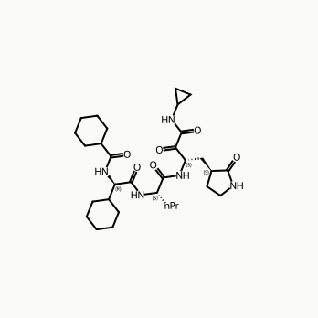 CCC[C@H](NC(=O)[C@H](NC(=O)C1CCCCC1)C1CCCCC1)C(=O)N[C@@H](C[C@@H]1CCNC1=O)C(=O)C(=O)NC1CC1